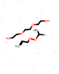 C=CCOOC(CC)CCCC.OCCOCCOCCO